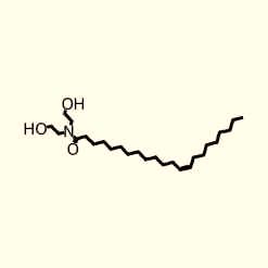 CCCCCCCC/C=C\CCCCCCCCCCCC(=O)N(CCO)CCO